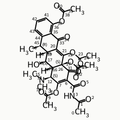 CC(=O)NC(=O)C1=C(OC(C)=O)[C@@H](N(C)C)[C@@H]2[C@@H](O)[C@H]3C(=C(OC(C)=O)[C@]2(OC(C)=O)C1=O)C(=O)c1c(OC(C)=O)cccc1[C@@H]3C